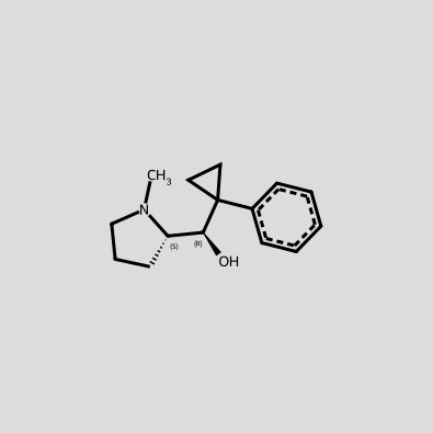 CN1CCC[C@H]1[C@H](O)C1(c2ccccc2)CC1